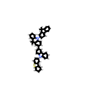 CC1(C)c2ccccc2-c2ccc(N3c4ccccc4C(C)(C)c4cc(-c5ccc6c(c5)c5ccccc5n6-c5ccc6sc7ccccc7c6c5)ccc43)cc21